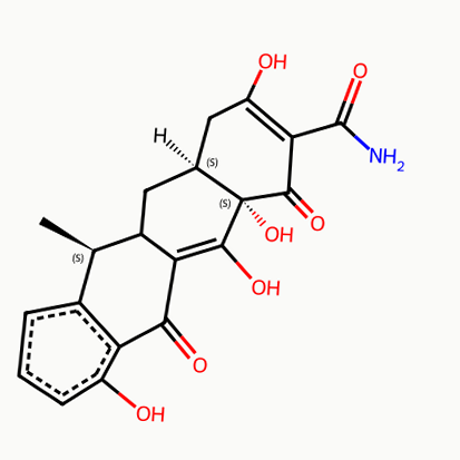 C[C@@H]1c2cccc(O)c2C(=O)C2=C(O)[C@]3(O)C(=O)C(C(N)=O)=C(O)C[C@@H]3CC21